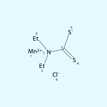 CCN(CC)C(=S)[S-].[Cl-].[Mn+2]